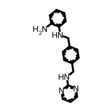 Nc1ccccc1NCc1ccc(CNc2ncccn2)cc1